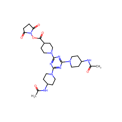 CC(=O)NC1CCN(c2nc(N3CCC(NC(C)=O)CC3)nc(N3CCC(C(=O)ON4C(=O)CCC4=O)CC3)n2)CC1